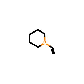 C=CP1CCCCC1